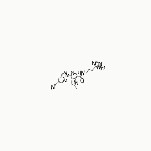 CC(C)Nc1cc(-n2ncc3cc(C#N)cnc32)ncc1C(=O)NCCCc1ncn[nH]1